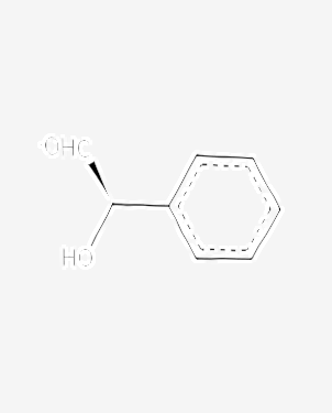 O=[C][C@H](O)c1ccccc1